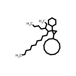 CCCCCCCCCC[C](C(CC)CCCC)C1(C2CCCCC2)CC1C1CCCCCCCCCCC1